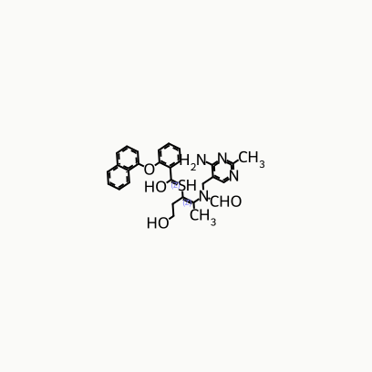 C/C(=C(CCO)/[SH]=C(\O)c1ccccc1Oc1cccc2ccccc12)N(C=O)Cc1cnc(C)nc1N